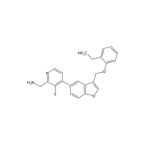 NCc1nccc(-c2ccc3occ(COc4ccccc4CC(=O)O)c3c2)c1F